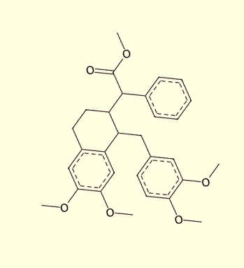 COC(=O)C(c1ccccc1)C1CCc2cc(OC)c(OC)cc2C1Cc1ccc(OC)c(OC)c1